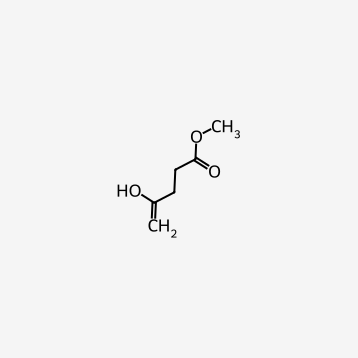 C=C(O)CCC(=O)OC